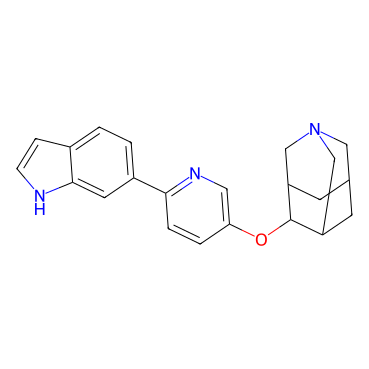 c1cc2ccc(-c3ccc(OC4C5CC6CC4CN(C6)C5)cn3)cc2[nH]1